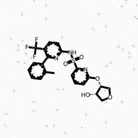 Cc1ccccc1-c1nc(NS(=O)(=O)c2cccc(O[C@@H]3COC[C@@H]3O)n2)ccc1C(F)(F)F